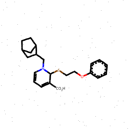 O=C(O)C1=CC=CN(CC2CC3CCC2C3)C1SCCOc1ccccc1